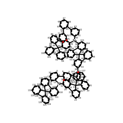 c1ccc(-c2ccc(-c3ccccc3N(c3ccc4c(c3)-c3ccccc3C4(c3ccccc3)c3ccc(-c4ccc5c(c4)-c4ccccc4C54c5ccccc5-c5c(N(c6cccc(-c7ccccc7-c7ccccc7)c6)c6ccc7c(c6)-c6ccccc6C7(c6ccccc6)c6ccccc6)cccc54)cc3)c3cccc4c3-c3ccccc3C43c4ccccc4-c4ccccc43)cc2)cc1